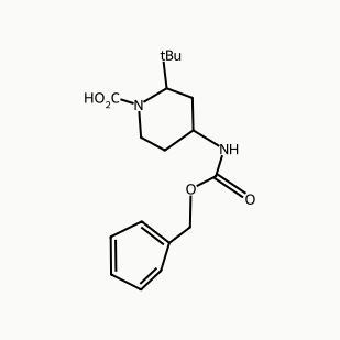 CC(C)(C)C1CC(NC(=O)OCc2ccccc2)CCN1C(=O)O